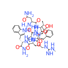 CNC(=N)NCCC[C@H](NC(=O)[C@H](CC(C)C)NC(=O)[C@@H]1CCN1C(=O)[C@H](Cc1ccccc1)NC(=O)[C@@H](NC(=O)[C@@H](N)CC(N)=O)[C@@H](C)O)C(=O)N[C@@H](Cc1c[nH]c2ccccc12)C(N)=O